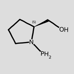 OC[C@@H]1CCCN1P